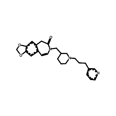 O=C1Cc2cc3c(cc2C=CN1CC1CCCN(CCCc2cccnc2)C1)OCO3